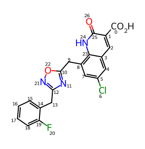 O=C(O)c1cc2cc(Cl)cc(Cc3nc(Cc4ccccc4F)no3)c2[nH]c1=O